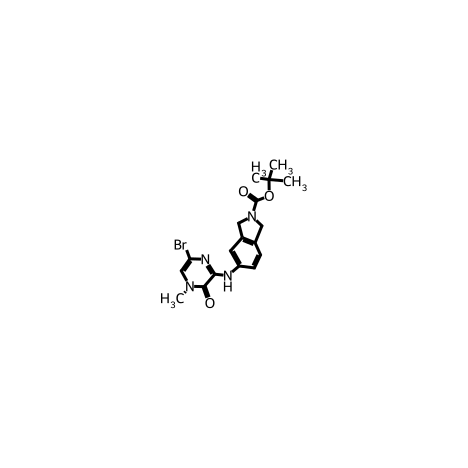 Cn1cc(Br)nc(Nc2ccc3c(c2)CN(C(=O)OC(C)(C)C)C3)c1=O